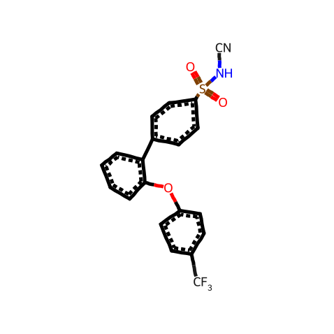 N#CNS(=O)(=O)c1ccc(-c2ccccc2Oc2ccc(C(F)(F)F)cc2)cc1